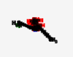 C=C(CCCCCCCCCCCCn1nnn([C@@H](COC2OC(CO)C(O)C(O)C2O)[C@H](O)[C@H](O)CCCCCCCCCCCCCC)c1=O)C(F)F